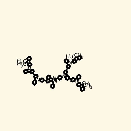 CC1(C)c2ccccc2-c2ccc(-n3c4ccccc4c4cc(-c5ccc6c(c5)c5ccccc5n6-c5ccc(-c6ccc7c8c(cccc68)-c6nc(-c8ccc(-n9c%10ccc(-c%11ccc%12c(c%11)c%11ccccc%11n%12-c%11ccc%12c(c%11)C(C)(C)c%11ccccc%11-%12)cc%10c%10cc(-c%11ccc%12c(c%11)c%11ccccc%11n%12-c%11ccc%12c(c%11)C(C)(C)c%11ccccc%11-%12)ccc%109)cc8)nc(-c8ccccc8)c6-7)cc5)ccc43)cc21